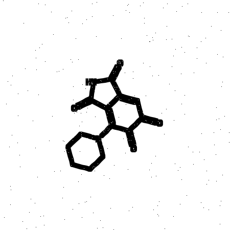 O=c1[nH]c(=O)c2c(N3CCCCC3)c(=O)c(=O)cc1-2